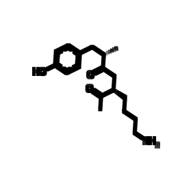 CC(=O)[C@H](CCCCN)CC(=O)[C@@H](C)Cc1ccc(O)cc1